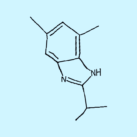 Cc1cc(C)c2[nH]c(C(C)C)nc2c1